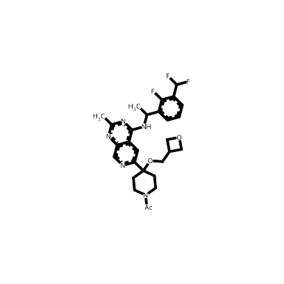 CC(=O)N1CCC(OCC2COC2)(c2cc3c(NC(C)c4cccc(C(F)F)c4F)nc(C)nc3cn2)CC1